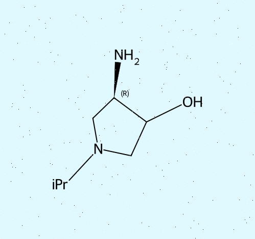 CC(C)N1CC(O)[C@H](N)C1